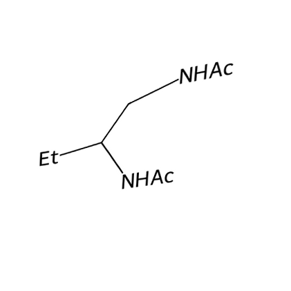 CCC(CNC(C)=O)NC(C)=O